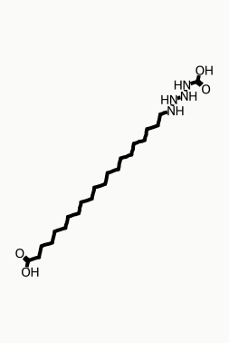 O=C(O)CCCCCCCCCCCCCCCCCCCCNNNNC(=O)O